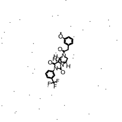 COc1cccc(CC(=O)N2C[C@@H]3C[C@H]2[C@@H]2C(=O)N(c4cccc(C(F)(F)F)c4)C(=O)N32)c1